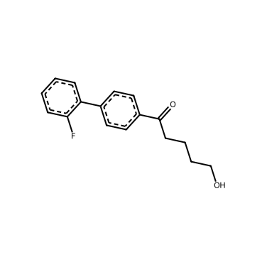 O=C(CCCCO)c1ccc(-c2ccccc2F)cc1